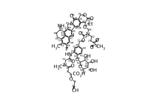 C#CCOCCC(=O)N(C)CC(=O)Nc1cc(COC(=O)N(CCS(C)(=O)=O)CO[C@]2(CC)C(=O)OCc3c2cc2n(c3=O)Cc3c-2nc2cc(F)c(C)c4c2c3[C@H](N)CC4)ccc1O[C@@H]1OC(C(=O)O)[C@@H](O)[C@H](O)C1O